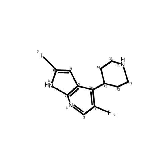 Fc1cnc2[nH]c(I)cc2c1C1CCNCC1